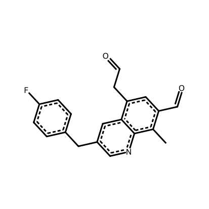 Cc1c(C=O)cc(CC=O)c2cc(Cc3ccc(F)cc3)cnc12